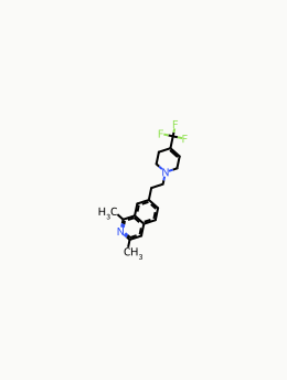 Cc1cc2ccc(CCN3CC=C(C(F)(F)F)CC3)cc2c(C)n1